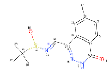 Cc1ccc2c(=O)[nH]nc(/C=N/[S+]([O-])C(C)(C)C)c2c1